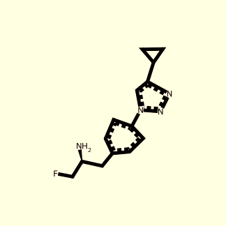 N[C@H](CF)Cc1ccc(-n2cc(C3CC3)nn2)cc1